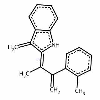 C=C(/C(C)=c1\[nH]c2ccccc2c1=C)c1ccccc1C